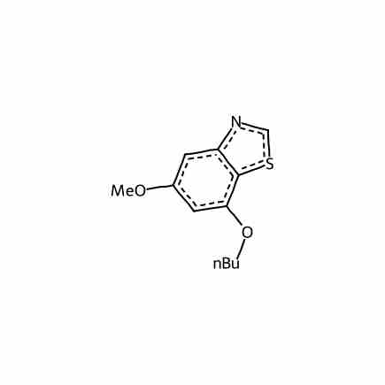 CCCCOc1cc(OC)cc2ncsc12